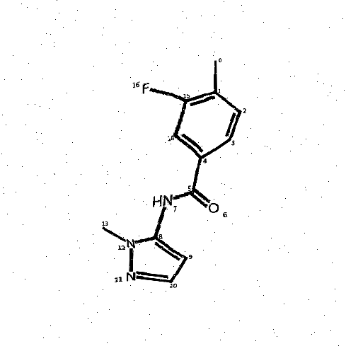 Cc1ccc(C(=O)Nc2ccnn2C)cc1F